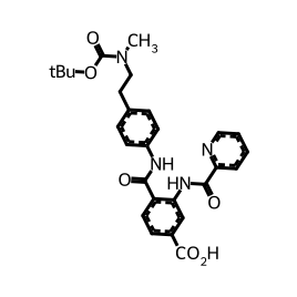 CN(CCc1ccc(NC(=O)c2ccc(C(=O)O)cc2NC(=O)c2ccccn2)cc1)C(=O)OC(C)(C)C